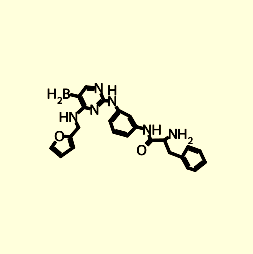 Bc1cnc(Nc2cccc(NC(=O)C(N)Cc3ccccc3)c2)nc1NCc1ccco1